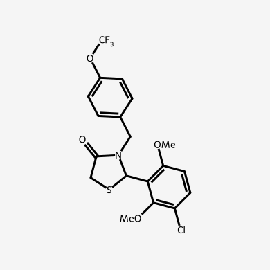 COc1ccc(Cl)c(OC)c1C1SCC(=O)N1Cc1ccc(OC(F)(F)F)cc1